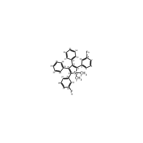 C[Si]1(C)C(c2cccc(F)c2)=C(c2ccccc2)C(c2ccccc2)=C1c1cccc(F)c1